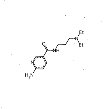 CCN(CC)CCCNC(=O)c1ccc(N)nc1